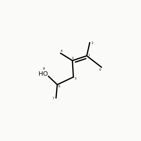 CC(C)=C(C)CC(C)O